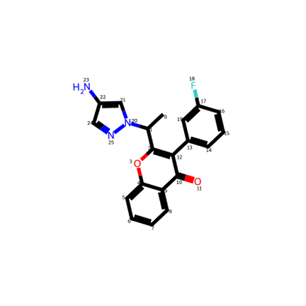 CC(c1oc2ccccc2c(=O)c1-c1cccc(F)c1)n1cc(N)cn1